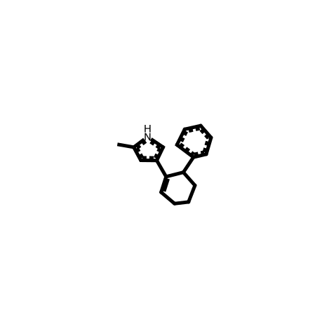 Cc1cc(C2=CCCCC2c2ccccc2)c[nH]1